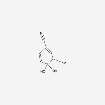 N#CC1=CC(Br)C(O)(O)C=C1